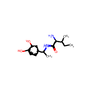 CCC(C)C(N)C(=O)NC(C)c1ccc(O)c(O)c1